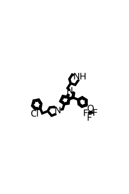 FC(F)(F)Oc1ccc(-c2cn(CC3CCNCC3)c3ccc(CN4CCC(Cc5ccccc5Cl)CC4)cc23)cc1